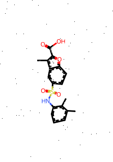 Cc1cccc(NS(=O)(=O)c2ccc3oc(C(=O)O)c(C)c3c2)c1C